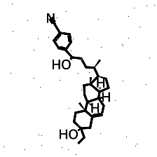 CC[C@]1(O)CC[C@@]2(C)C(=CC[C@H]3[C@@H]4CC[C@H]([C@H](C)CCC(O)c5ccc(C#N)cc5)[C@@]4(C)CC[C@@H]32)C1